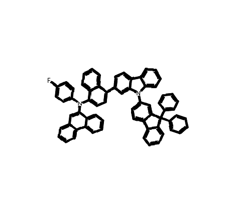 Fc1ccc(N(c2ccc(-c3ccc4c5ccccc5n(-c5ccc6c(c5)C(c5ccccc5)(c5ccccc5)c5ccccc5-6)c4c3)c3ccccc23)c2cc3ccccc3c3ccccc23)cc1